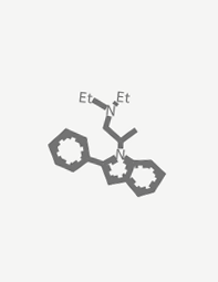 CCN(CC)CC(C)n1c(-c2ccccc2)cc2ccccc21